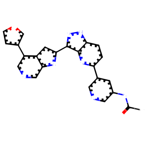 CC(C)C(=O)Nc1cncc(-c2ccc3[nH]nc(-c4cc5c(-c6ccoc6)cncc5[nH]4)c3n2)c1